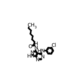 CCCCCCCC(=O)Nc1n[nH]c2ncnc(Nc3cccc(Cl)c3)c12